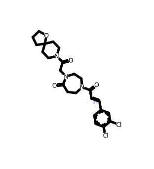 O=C(/C=C/c1ccc(Cl)c(Cl)c1)N1CCC(=O)N(CC(=O)N2CCC3(CCCO3)CC2)CC1